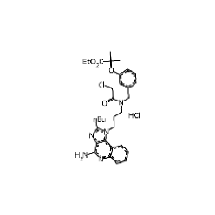 CCCCc1nc2c(N)nc3ccccc3c2n1CCCN(Cc1cccc(OC(C)(C)C(=O)OCC)c1)C(=O)CCl.Cl